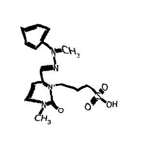 CN(N=Cc1ccn(C)c(=O)[n+]1CCCS(=O)(=O)O)c1ccccc1